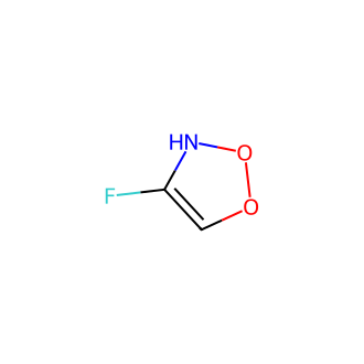 FC1=COON1